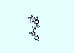 O=C(NOC[C@H]1C[C@H](N2CCSCC2)CN1)[C@@H]1CC[C@@H]2CN1C(=O)N2OS(=O)(=O)O